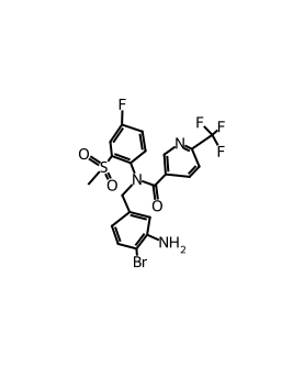 CS(=O)(=O)c1cc(F)ccc1N(Cc1ccc(Br)c(N)c1)C(=O)c1ccc(C(F)(F)F)nc1